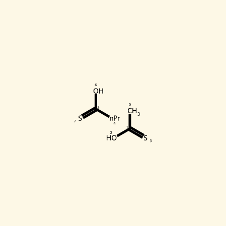 CC(O)=S.CCCC(O)=S